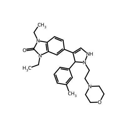 CCn1c(=O)n(CC)c2cc(C3=CNN(CCN4CCOCC4)C3c3cccc(C)c3)ccc21